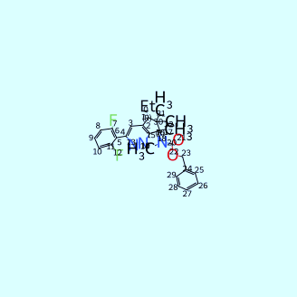 CC[C@H]1c2cc(-c3c(F)cccc3F)nnc2[C@](C)(N(C)C(=O)OCc2ccccc2)C1(C)C